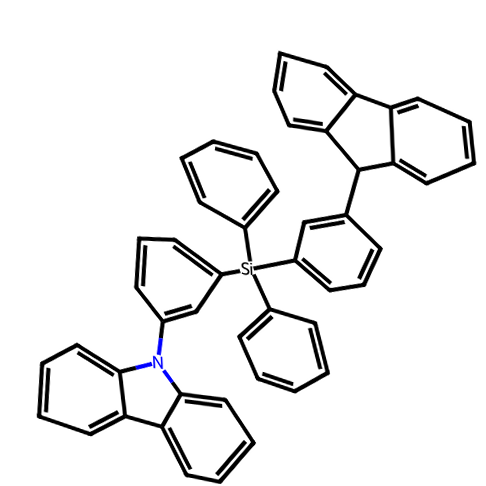 c1ccc([Si](c2ccccc2)(c2cccc(C3c4ccccc4-c4ccccc43)c2)c2cccc(-n3c4ccccc4c4ccccc43)c2)cc1